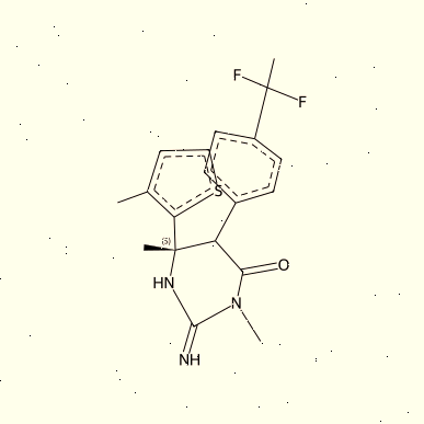 Cc1ccsc1[C@@]1(C)NC(=N)N(C)C(=O)C1c1ccc(C(C)(F)F)cc1